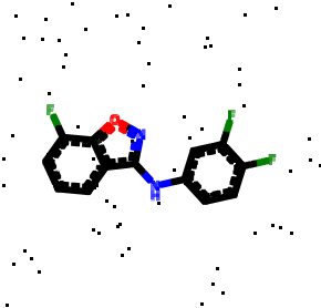 Fc1ccc(Nc2noc3c(F)cccc23)cc1F